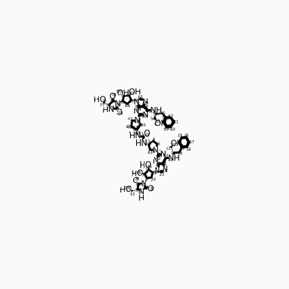 O=C(N[C@@H]1CCN(c2nc(N[C@H](CO)Cc3ccccc3)c3ncn([C@@H]4C[C@H](N5C(=O)N[C@H](CO)C5=O)[C@@H](O)[C@H]4O)c3n2)C1)N[C@@H]1CCN(c2nc(N[C@H](CO)Cc3ccccc3)c3ncn([C@@H]4C[C@H](N5C(=O)N[C@H](CO)C5=O)[C@@H](O)[C@H]4O)c3n2)C1